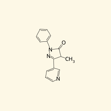 CC1C(=O)N(c2ccccc2)N=C1c1cccnc1